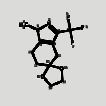 Cn1nc(C(F)(F)F)c2c1CCC1(C2)OCCO1